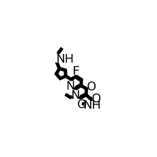 CCNCC1CCC(c2nc3c(cc2F)c(=O)c2c(=O)[nH]oc2n3CC)C1